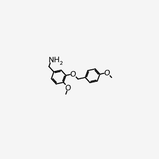 COc1ccc(COc2cc(CN)ccc2OC)cc1